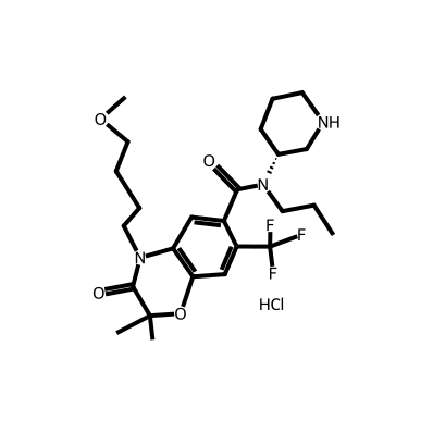 CCCN(C(=O)c1cc2c(cc1C(F)(F)F)OC(C)(C)C(=O)N2CCCCOC)[C@@H]1CCCNC1.Cl